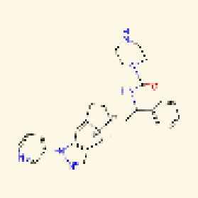 C[C@]12Cc3cnn(-c4cccnc4)c3C=C1CC[C@@H]2CC(NC(=O)N1CCNCC1)c1ccccc1